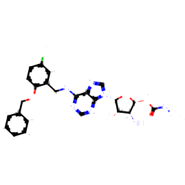 CNC(=O)O[C@@H]1O[C@@H](n2cnc3c(NCc4cc(Cl)ccc4OCc4ccccc4)ncnc32)[C@H](O)[C@@H]1N